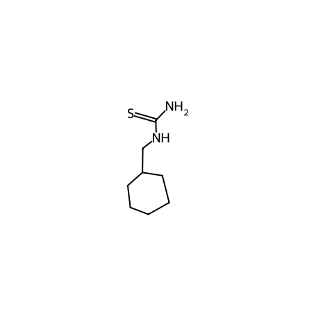 NC(=S)NCC1CCCCC1